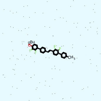 CCCCOc1ccc(-c2ccc(/C=C/c3ccc(-c4ccc(C)cc4)c(F)c3F)cc2)c(F)c1F